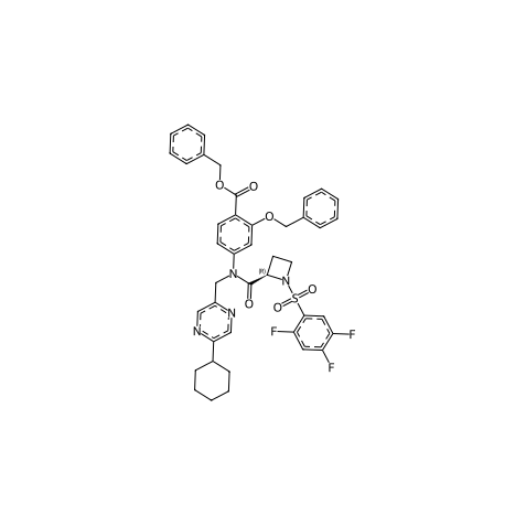 O=C(OCc1ccccc1)c1ccc(N(Cc2cnc(C3CCCCC3)cn2)C(=O)[C@H]2CCN2S(=O)(=O)c2cc(F)c(F)cc2F)cc1OCc1ccccc1